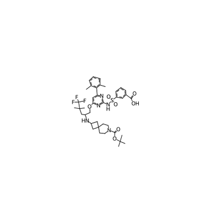 Cc1cccc(C)c1-c1cc(OCC(CC(C)(C)C(F)(F)F)NC2CC3(CCN(C(=O)OC(C)(C)C)CC3)C2)nc(NS(=O)(=O)c2cccc(C(=O)O)c2)n1